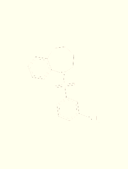 Nc1cccc(S(=O)(=O)N2CCCOc3ccccc32)c1